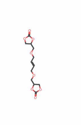 O=C1OCC(COC/C=C/COCC2COC(=O)O2)O1